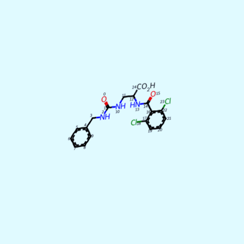 O=C(NCc1ccccc1)NCC(NC(=O)c1c(Cl)cccc1Cl)C(=O)O